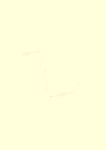 C#CC(C)CCCCCCC(C#CCCCCCCCCCC)CC